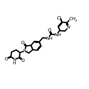 CC1=NCC(NC(=O)NCC2=CC3C(=O)N(C4CCC(=O)NC4=O)CC3C=C2)C=C1Cl